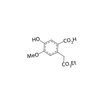 CCOC(=O)Cc1cc(OC)c(O)cc1C(=O)O